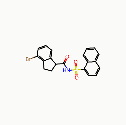 O=C(NS(=O)(=O)c1cccc2ccccc12)C1CCc2c(Br)cccc21